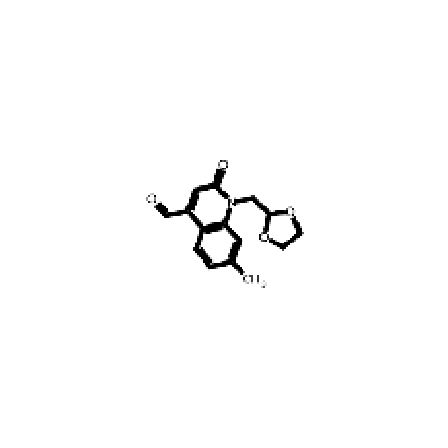 Cc1ccc2c(C=O)cc(=O)n(CC3OCCO3)c2c1